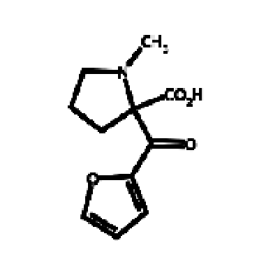 CN1CCCC1(C(=O)O)C(=O)c1ccco1